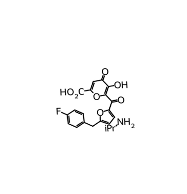 CC(C)N.O=C(O)c1cc(=O)c(O)c(C(=O)c2ccc(Cc3ccc(F)cc3)o2)o1